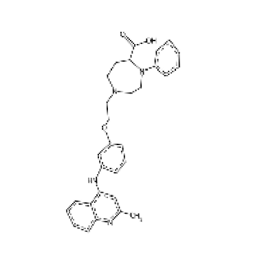 Cc1cc(Nc2cccc(OCCN3CCC(C(=O)O)N(c4ccccc4)CC3)c2)c2ccccc2n1